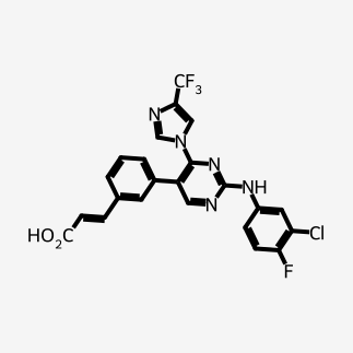 O=C(O)C=Cc1cccc(-c2cnc(Nc3ccc(F)c(Cl)c3)nc2-n2cnc(C(F)(F)F)c2)c1